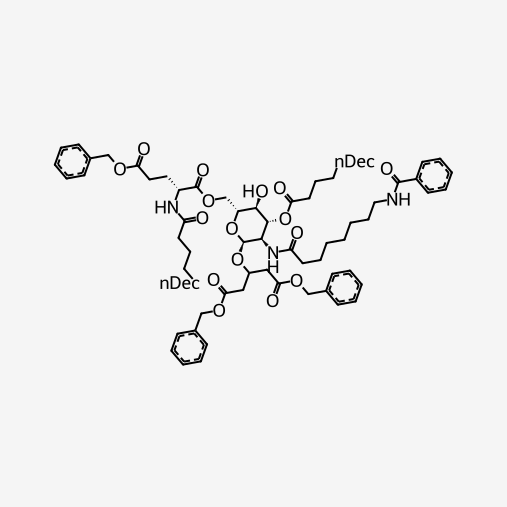 CCCCCCCCCCCCCC(=O)N[C@H](CCC(=O)OCc1ccccc1)C(=O)OC[C@H]1O[C@H](OC(CC(=O)OCc2ccccc2)CC(=O)OCc2ccccc2)[C@H](NC(=O)CCCCCCCNC(=O)c2ccccc2)[C@@H](OC(=O)CCCCCCCCCCCCC)[C@@H]1O